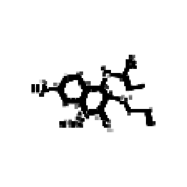 C=CCOc1c(OC(=CC)CC)c2ccc(N)cc2n(CCCCCC)c1=O